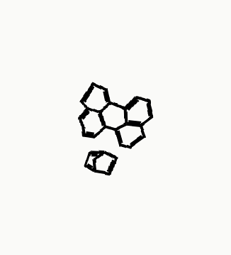 C1=CC2=CC=C1C2.c1cc2cccc3c4cccc5cccc(c(c1)c23)c54